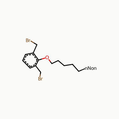 CCCCCCCCCCCCCCOc1c(CBr)cccc1CBr